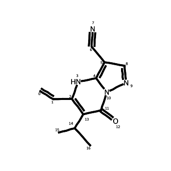 C=Cc1[nH]c2c(C#N)cnn2c(=O)c1C(C)C